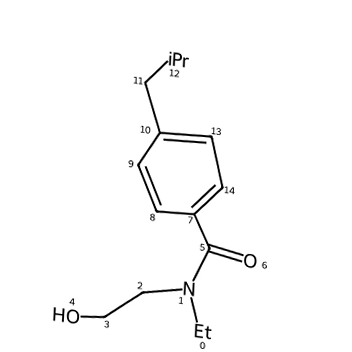 CCN(CCO)C(=O)c1ccc(CC(C)C)cc1